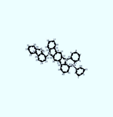 c1ccc(N2c3ccccc3-n3c4cc5c6ccccc6n(-c6cccc7c6sc6ccccc67)c5cc4c4cccc2c43)cc1